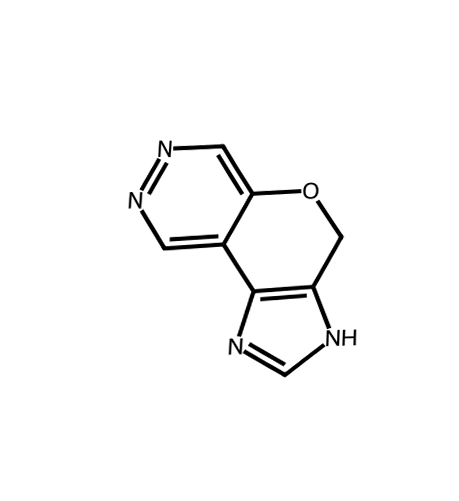 c1nc2c([nH]1)COc1cnncc1-2